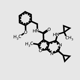 COc1ccccc1CNC(=O)c1c(C)oc2nc(C3CC3)nc(NC3(C)CC3)c12